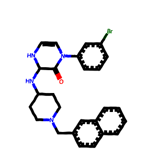 O=C1C(NC2CCN(Cc3ccc4ccccc4c3)CC2)NC=CN1c1cccc(Br)c1